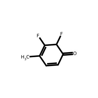 CC1=C(F)C(F)C(=O)C=C1